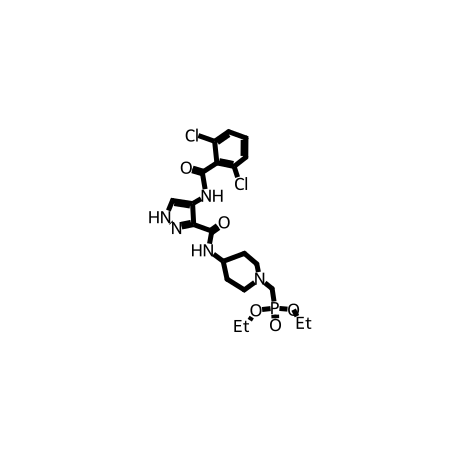 CCOP(=O)(CN1CCC(NC(=O)c2n[nH]cc2NC(=O)c2c(Cl)cccc2Cl)CC1)OCC